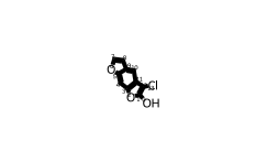 Oc1oc2cc3occc3cc2c1Cl